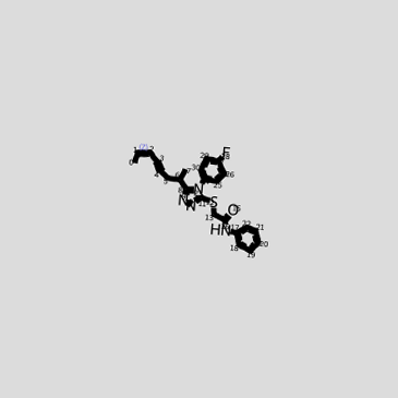 C/C=C\C#CCC(C)c1nnc(SCC(=O)Nc2ccccc2)n1-c1ccc(F)cc1